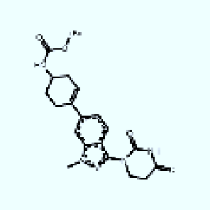 Cn1nc(N2CCC(=O)NC2=O)c2ccc(C3=CCC(NC(=O)OC(C)(C)C)CC3)cc21